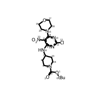 CC(C)(C)OC(=O)N1CCC(Nc2nc(Cl)nc(N3CCOCC3)c2[N+](=O)[O-])CC1